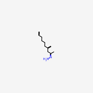 C=CCCCCC(=C)C/C(C)=N\N